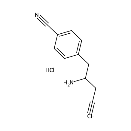 C#CCC(N)Cc1ccc(C#N)cc1.Cl